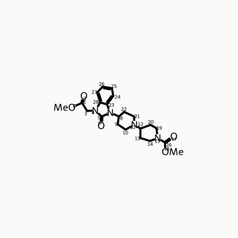 COC(=O)Cn1c(=O)n(C2CCN(C3CCN(C(=O)OC)CC3)CC2)c2ccccc21